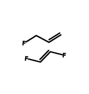 C=CCF.FC=CF